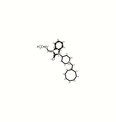 COCn1c(=O)n(C2CCN(CC3CCCCCCC3)CC2)c2ccccc21